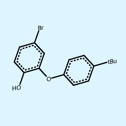 CC(C)(C)c1ccc(Oc2cc(Br)ccc2O)cc1